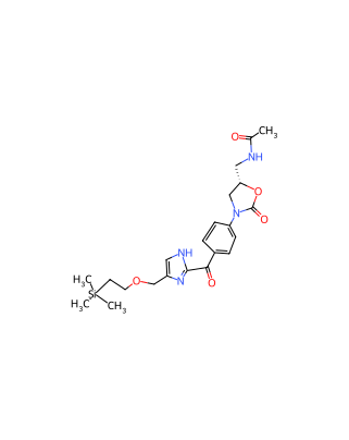 CC(=O)NC[C@H]1CN(c2ccc(C(=O)c3nc(COCC[Si](C)(C)C)c[nH]3)cc2)C(=O)O1